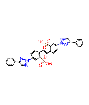 O=S(=O)(O)c1cc(-n2ncc(-c3ccccc3)n2)ccc1C=Cc1ccc(-n2ncc(-c3ccccc3)n2)cc1S(=O)(=O)O